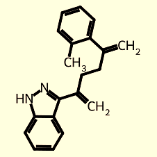 C=C(CCC(=C)c1n[nH]c2ccccc12)c1ccccc1C